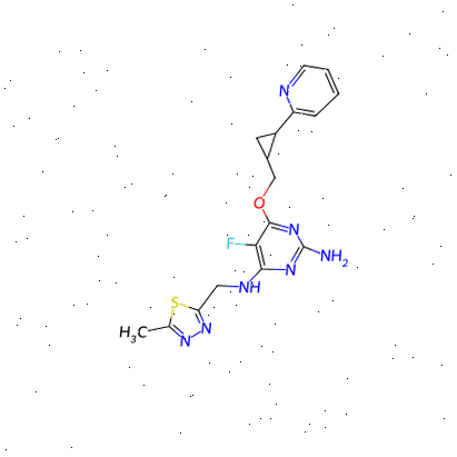 Cc1nnc(CNc2nc(N)nc(OCC3CC3c3ccccn3)c2F)s1